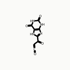 O=C=CC(=O)c1nc2[nH]c(=O)[nH]c(=O)c2[nH]1